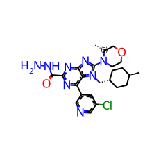 C[C@@H]1COCCN1c1nc2nc(C(=O)NN)nc(-c3cncc(Cl)c3)c2n1C[C@H]1CC[C@H](C)CC1